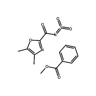 COC(=O)c1ccccc1.Cc1nc(C(=O)N=S(=O)=O)oc1C